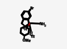 [2H]C1([2H])OC(N)=NC12c1cc(Br)ccc1C[C@@]21CC[C@H](OC)[C@@H](CC)C1